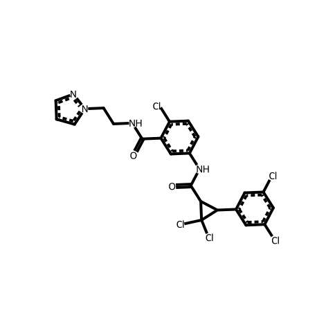 O=C(NCCn1cccn1)c1cc(NC(=O)C2C(c3cc(Cl)cc(Cl)c3)C2(Cl)Cl)ccc1Cl